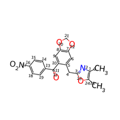 Cc1nc(Cc2cc3c(cc2C(=O)c2ccc([N+](=O)[O-])cc2)OCO3)oc1C